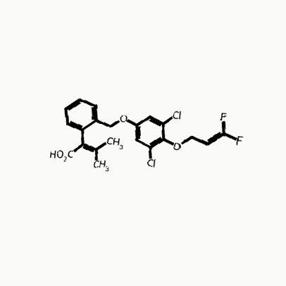 CC(C)=C(C(=O)O)c1ccccc1COc1cc(Cl)c(OCC=C(F)F)c(Cl)c1